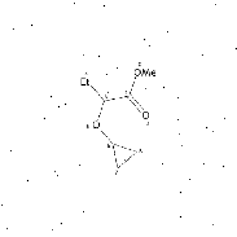 [CH2]OC(=O)C(CC)OC1CC1